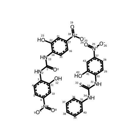 O=C(Nc1ccc([N+](=O)[O-])cc1O)Nc1ccc([N+](=O)[O-])cc1O.O=[N+]([O-])c1ccc(NC(=S)Nc2ccccc2)c(O)c1